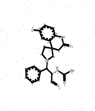 O=C[C@@H](NC(=O)O)C(c1ccccc1)N1CCC2(CC(=O)Nc3ccc(Cl)cc32)C1